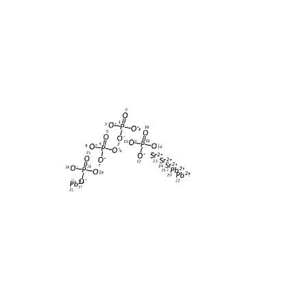 O=P([O-])([O-])[O-].O=P([O-])([O-])[O-].O=P([O-])([O-])[O-].O=P([O-])([O-])[O-].[Pb+2].[Pb+2].[Pb+2].[Sr+2].[Sr+2].[Sr+2]